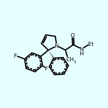 CCNC(=O)C(C)N1CC=C[C@]1(c1ccccc1)c1cc(F)ccc1F